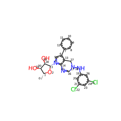 C[C@H]1O[C@@H](n2cc(-c3ccccc3)c3c2N=CN(Nc2cc(Cl)cc(Cl)c2)C3)[C@H](O)[C@@H]1O